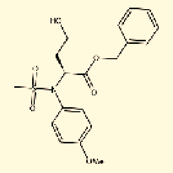 COc1ccc(N([C@@H](CCO)C(=O)OCc2ccccc2)S(C)(=O)=O)cc1